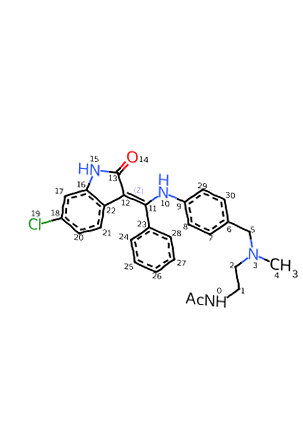 CC(=O)NCCN(C)Cc1ccc(N/C(=C2\C(=O)Nc3cc(Cl)ccc32)c2ccccc2)cc1